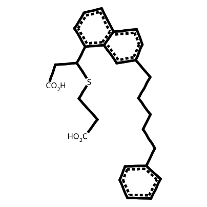 O=C(O)CCSC(CC(=O)O)c1cccc2ccc(CCCCCc3ccccc3)cc12